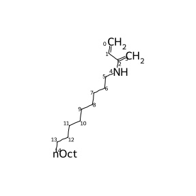 C=CC(=C)NCCCCCCCCCCCCCCCCC